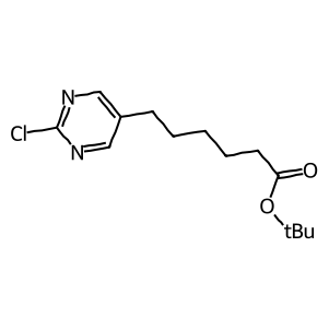 CC(C)(C)OC(=O)CCCCCc1cnc(Cl)nc1